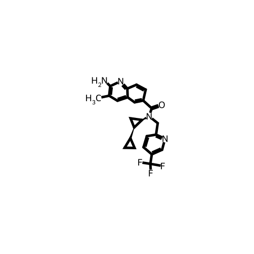 Cc1cc2cc(C(=O)N(Cc3ccc(C(F)(F)F)cn3)[C@@H]3C[C@@H]3C3CC3)ccc2nc1N